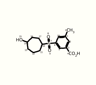 Cc1cc(C(=O)O)cc(S(=O)(=O)C2CCCC(O)CC2)c1